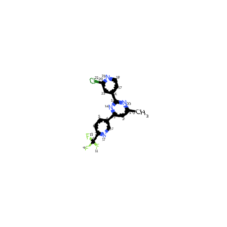 Cc1cc(-c2ccc(C(F)(F)F)nc2)nc(-c2ccnc(Cl)c2)n1